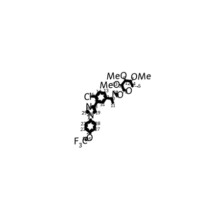 CO[C@@H]1[C@@H](OC)[C@H](C)O[C@@H](O/N=C(\C)c2ccc(Cl)c(-c3cn(-c4ccc(OC(F)(F)F)cc4)cn3)c2)[C@@H]1OC